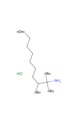 CCCCCCCCCCCCCCCCC(CCCC)C(N)(CCCC)CCCC.Cl